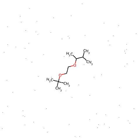 CC(C)C(C)OCCOC(C)(C)C